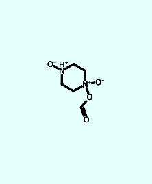 O=CO[N+]1([O-])CC[NH+]([O-])CC1